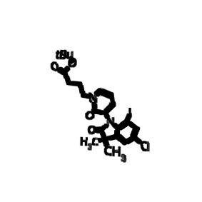 CC(C)(C)OC(=O)CCCn1cccc(N2C(=O)C(C)(C)c3cc(Cl)cc(I)c32)c1=O